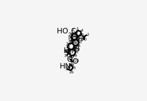 C=C(C)[C@@H]1CC[C@]2(C(=O)O)CC[C@]3(C)[C@H](CC[C@@H]4[C@@]5(C)CC[C@H](OC(=O)[C@@H]6CCCN6)C(C)(C)[C@@H]5CC[C@]43C)[C@@H]12